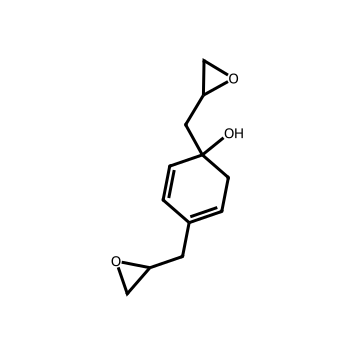 OC1(CC2CO2)C=CC(CC2CO2)=CC1